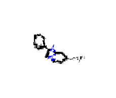 CCOC(=O)c1ccn2cc(-c3ccccc3)nc2c1